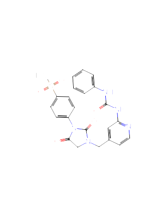 O=C(Nc1ccccc1)Nc1cc(CN2CC(=O)N(c3ccc(S(=O)(=O)C(F)(F)F)cc3)C2=O)ccn1